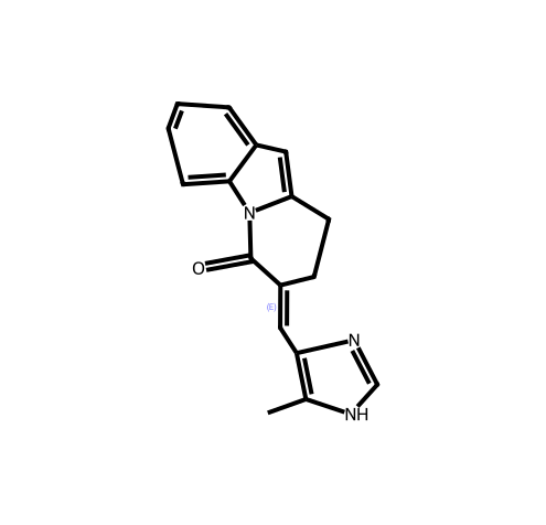 Cc1[nH]cnc1/C=C1\CCc2cc3ccccc3n2C1=O